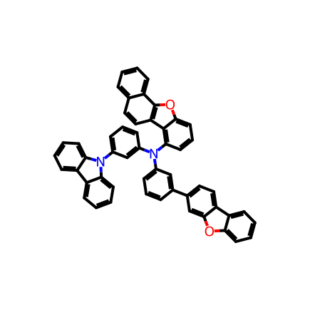 c1cc(-c2ccc3c(c2)oc2ccccc23)cc(N(c2cccc(-n3c4ccccc4c4ccccc43)c2)c2cccc3oc4c5ccccc5ccc4c23)c1